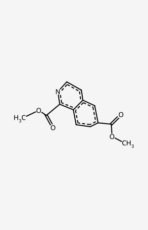 COC(=O)c1ccc2c(C(=O)OC)nccc2c1